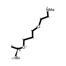 CNCCOCCCO[C@H](C)C(C)(C)C